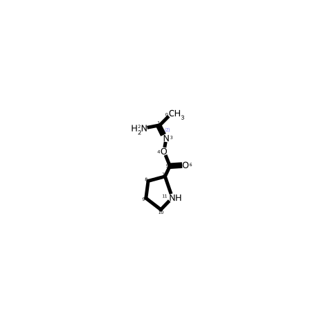 C/C(N)=N/OC(=O)C1CCCN1